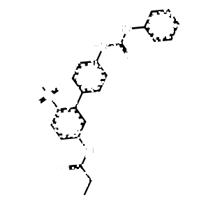 CCC(=O)Nc1ccc(S(=O)(=O)O)c(-c2ccc(NC(=O)Nc3ccccc3)cc2)c1